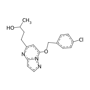 CC(O)CCc1cc(OCc2ccc(Cl)cc2)n2nccc2n1